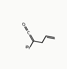 C=CCC(=C=O)C(C)C